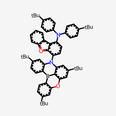 CC(C)(C)c1ccc(N(c2ccc(C(C)(C)C)cc2)c2ccc(N3c4cc(C(C)(C)C)ccc4B4c5ccc(C(C)(C)C)cc5Oc5cc(C(C)(C)C)cc3c54)c3oc4ccccc4c23)cc1